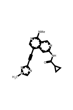 CNc1ncc(C#Cc2ncn(C)n2)c2cc(NC(=O)C3CC3)ncc12